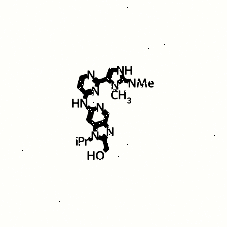 CNC1NC=C(c2nccc(Nc3cc4c(cn3)nc(CO)n4C(C)C)n2)N1C